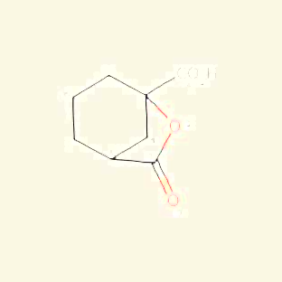 O=C1OC2(C(=O)O)CCCC1C2